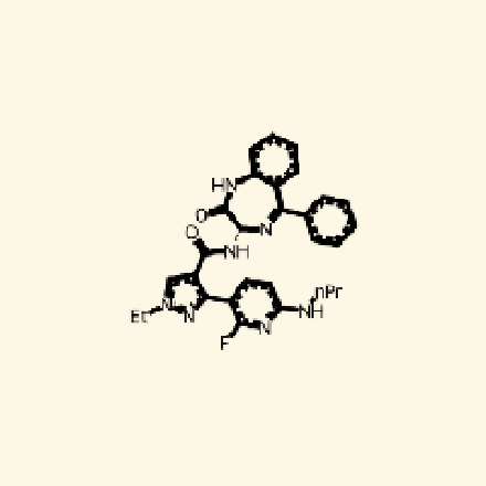 CCCNc1ccc(-c2nn(CC)cc2C(=O)N[C@H]2N=C(c3ccccc3)c3ccccc3NC2=O)c(F)n1